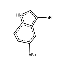 CCCCc1ccc2[nH]cc(CCC)c2c1